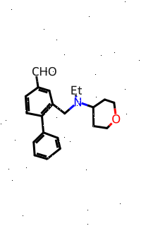 CCN(Cc1cc(C=O)ccc1-c1ccccc1)C1CCOCC1